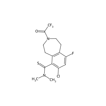 CN(C)C(=S)c1c(Cl)cc(F)c2c1CCN(C(=O)C(F)(F)F)CC2